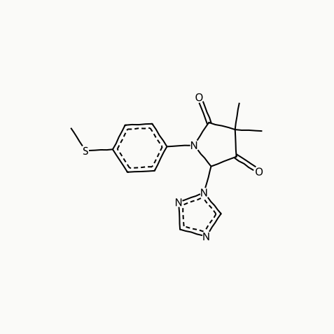 CSc1ccc(N2C(=O)C(C)(C)C(=O)C2n2cncn2)cc1